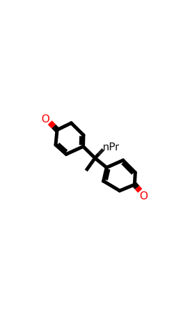 CCCC(C)(C1=CCC(=O)C=C1)C1=CCC(=O)C=C1